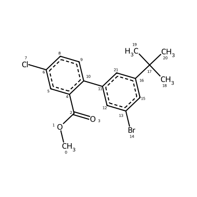 COC(=O)c1cc(Cl)ccc1-c1cc(Br)cc(C(C)(C)C)c1